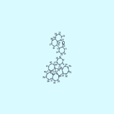 c1ccc(C2(c3ccc(-c4ccc5c(c4)-c4cccc6cccc(c46)O5)cc3)c3ccccc3-c3ccc4ccccc4c32)cc1